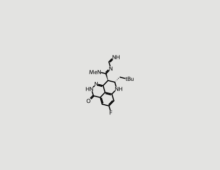 CN/C(=N\C=N)[C@@H]1c2n[nH]c(=O)c3cc(F)cc(c23)N[C@H]1CC(C)(C)C